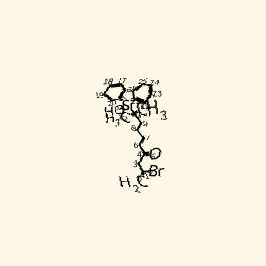 C=C(Br)CC(=O)CCCCC(C)(C)[Si](O)(c1ccccc1)c1ccccc1